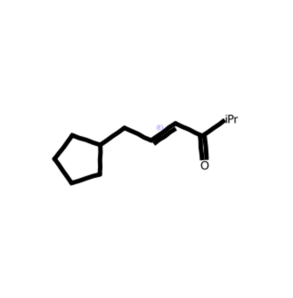 CC(C)C(=O)/C=C/CC1CCCC1